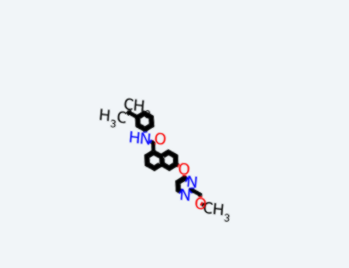 COCc1nccc(Oc2ccc3c(C(=O)Nc4cccc(C(C)C)c4)cccc3c2)n1